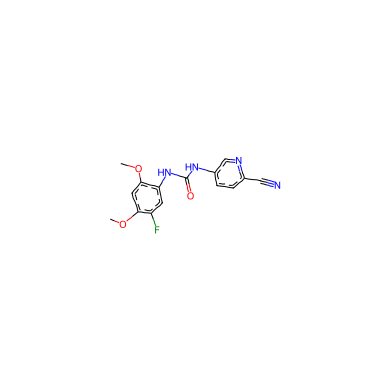 COc1cc(OC)c(NC(=O)Nc2ccc(C#N)nc2)cc1F